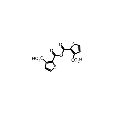 O=C(O)c1ccsc1C(=O)OC(=O)c1sccc1C(=O)O